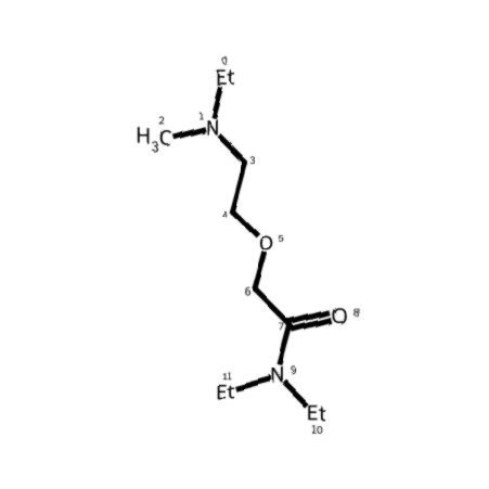 CCN(C)CCOCC(=O)N(CC)CC